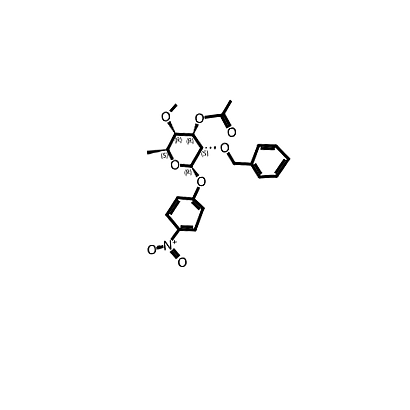 CO[C@H]1[C@@H](OC(C)=O)[C@H](OCc2ccccc2)[C@@H](Oc2ccc([N+](=O)[O-])cc2)O[C@H]1C